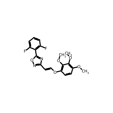 COc1ccc(O/C=C/c2noc(-c3c(F)cccc3F)n2)c(OC)c1OC